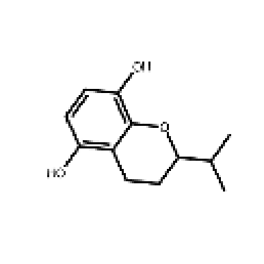 CC(C)C1CCc2c(O)ccc(O)c2O1